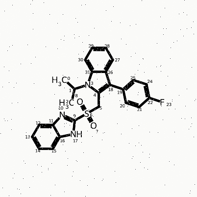 CC(C)n1c(CS(=O)(=O)c2nc3ccccc3[nH]2)c(-c2ccc(F)cc2)c2ccccc21